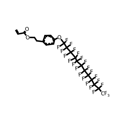 C=CC(=O)OCCc1ccc(OC(F)(F)C(F)(F)C(F)(F)C(F)(F)C(F)(F)C(F)(F)C(F)(F)C(F)(F)C(F)(F)C(F)(F)C(F)(F)C(F)(F)F)cc1